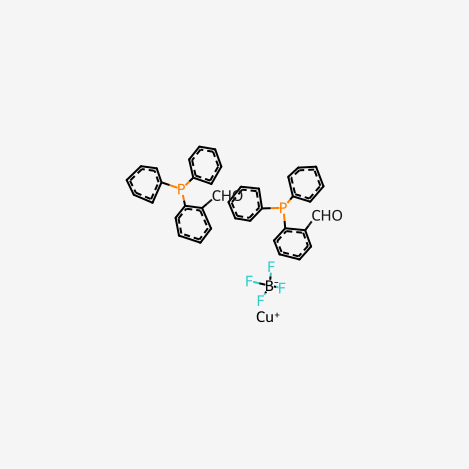 F[B-](F)(F)F.O=Cc1ccccc1P(c1ccccc1)c1ccccc1.O=Cc1ccccc1P(c1ccccc1)c1ccccc1.[Cu+]